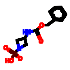 O=C(NC1CN(S(=O)(=O)O)C1)OCc1ccccc1